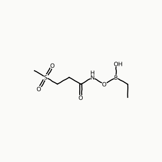 CCB(O)ONC(=O)CCS(C)(=O)=O